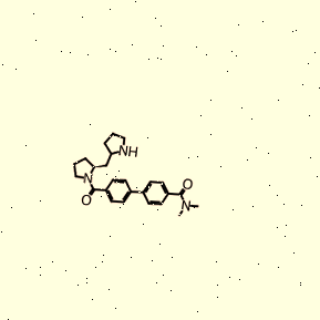 CN(C)C(=O)c1ccc(-c2ccc(C(=O)N3CCC[C@H]3CC3CCCN3)cc2)cc1